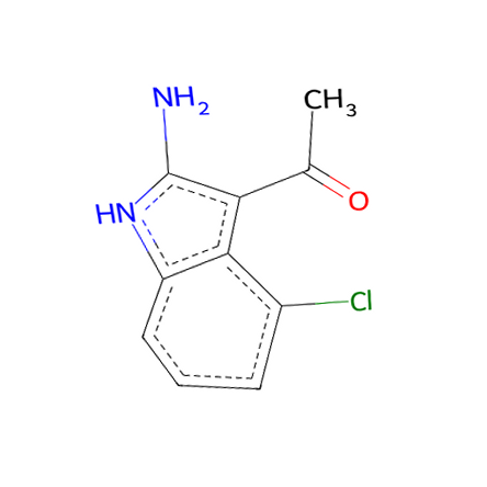 CC(=O)c1c(N)[nH]c2cccc(Cl)c12